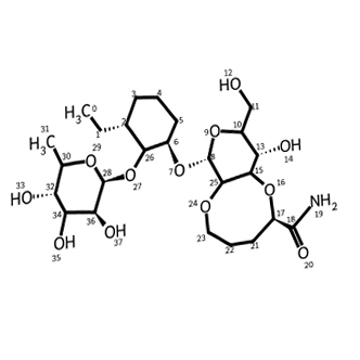 CC[C@@H]1CCC[C@@H](O[C@@H]2OC(CO)[C@H](O)C3O[C@@H](C(N)=O)CCCOC32)C1O[C@@H]1OC(C)[C@@H](O)C(O)[C@@H]1O